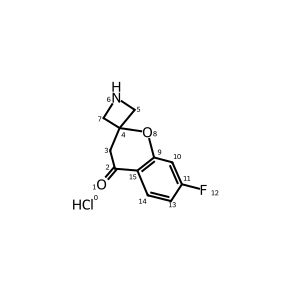 Cl.O=C1CC2(CNC2)Oc2cc(F)ccc21